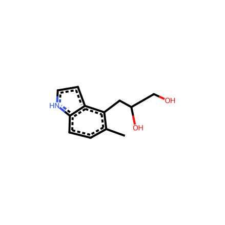 Cc1ccc2[nH]ccc2c1CC(O)CO